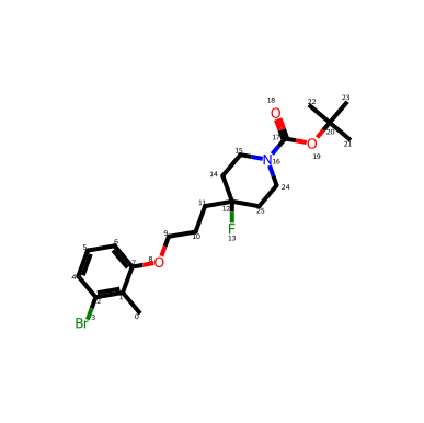 Cc1c(Br)cccc1OCCCC1(F)CCN(C(=O)OC(C)(C)C)CC1